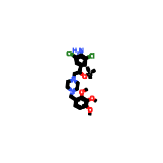 COc1ccc(CN2CCN(CC(O[Si](C)(C)C)c3cc(Cl)c(N)c(Cl)c3)CC2)c(OC)c1OC